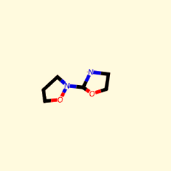 C1CON(C2[N]CCO2)C1